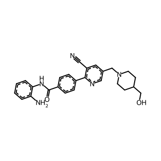 N#Cc1cc(CN2CCC(CO)CC2)cnc1-c1ccc(C(=O)Nc2ccccc2N)cc1